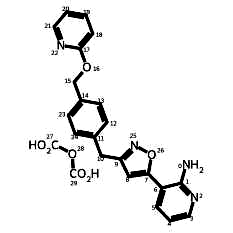 Nc1ncccc1-c1cc(Cc2ccc(COc3ccccn3)cc2)no1.O=C(O)OC(=O)O